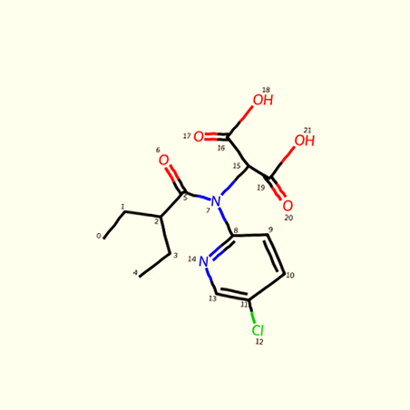 CCC(CC)C(=O)N(c1ccc(Cl)cn1)C(C(=O)O)C(=O)O